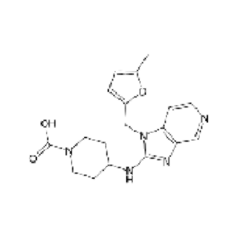 Cc1ccc(Cn2c(NC3CCN(C(=O)O)CC3)nc3cnccc32)o1